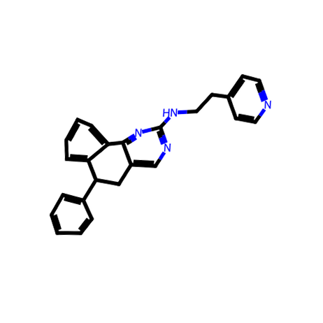 c1ccc(C2Cc3cnc(NCCc4ccncc4)nc3-c3ccccc32)cc1